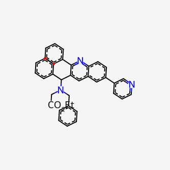 CCOC(=O)CN(Cc1ccccc1)C(c1ccccc1)c1cc2cc(-c3cccnc3)ccc2nc1-c1ccccc1